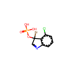 O=P(O)(O)OC1(Br)C=Nc2cccc(Cl)c21